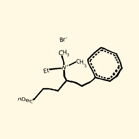 CCCCCCCCCCCCC(Cc1ccccc1)[N+](C)(C)CC.[Br-]